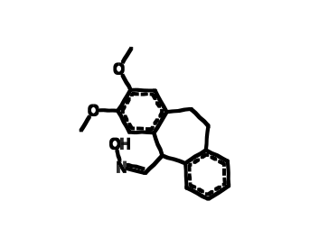 COc1cc2c(cc1OC)C(/C=N\O)c1ccccc1CC2